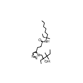 CCCCCCC(C)(CC)NC(=O)CCc1cnnn1C[C@](O)(CC)C(C)(C)CC